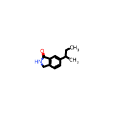 CCC(C)c1ccc2c(c1)C(=O)NC2